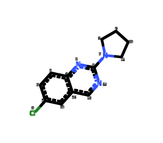 Clc1ccc2nc(N3CCCC3)ncc2c1